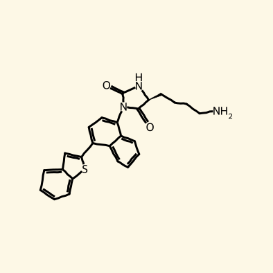 NCCCC[C@@H]1NC(=O)N(c2ccc(-c3cc4ccccc4s3)c3ccccc23)C1=O